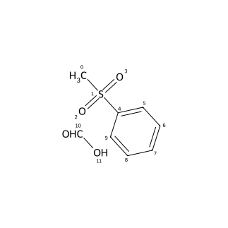 CS(=O)(=O)c1ccccc1.O=CO